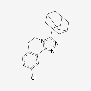 Clc1ccc2c(c1)-c1nnc(C34CC5CC(CC(C5)C3)C4)n1CC2